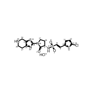 Cl.O=C1[C@@H](NS(=O)(=O)/C=C/c2ccc(Cl)s2)CCN1c1nc2c(s1)CNCC2